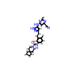 Cc1nc(C#N)cc(Nc2cc(CCc3cc(NC(=O)N4CCC5(CCCC5)CC4)ccc3C)n[nH]2)n1